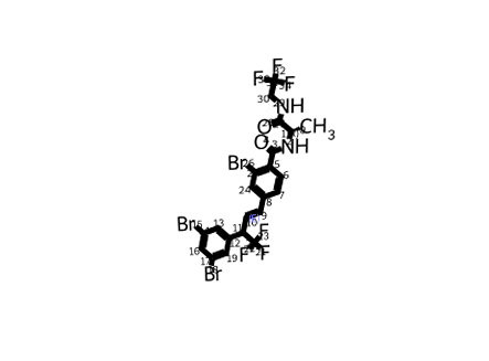 C[C@@H](NC(=O)c1ccc(/C=C/C(c2cc(Br)cc(Br)c2)C(F)(F)F)cc1Br)C(=O)NCC(F)(F)F